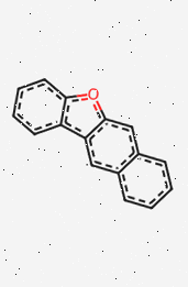 [c]1c2ccccc2cc2oc3ccccc3c12